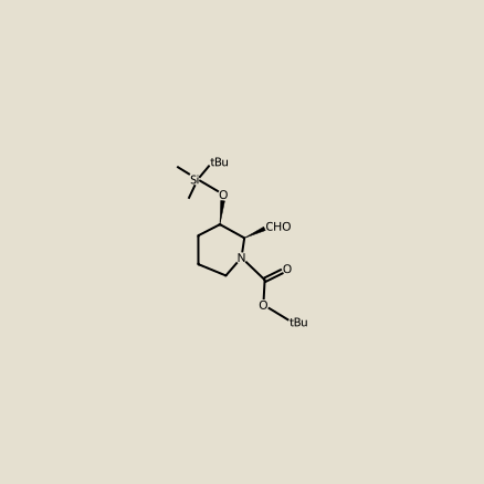 CC(C)(C)OC(=O)N1CCC[C@@H](O[Si](C)(C)C(C)(C)C)[C@H]1C=O